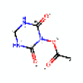 CC(=O)ON1C(=O)NCNC1=O